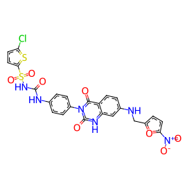 O=C(Nc1ccc(-n2c(=O)[nH]c3cc(NCc4ccc([N+](=O)[O-])o4)ccc3c2=O)cc1)NS(=O)(=O)c1ccc(Cl)s1